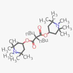 CCCCC(CCCC)(C(=O)OC1CC(C)(C)N(C)C(C)(C)C1)C(=O)OC1CC(C)(C)N(C)C(C)(C)C1